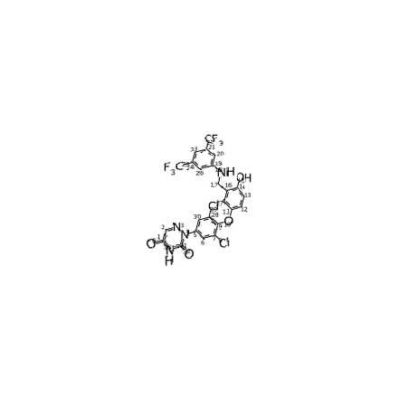 O=c1cnn(-c2cc(Cl)c(Oc3ccc(O)c(CNc4cc(C(F)(F)F)cc(C(F)(F)F)c4)c3)c(Cl)c2)c(=O)[nH]1